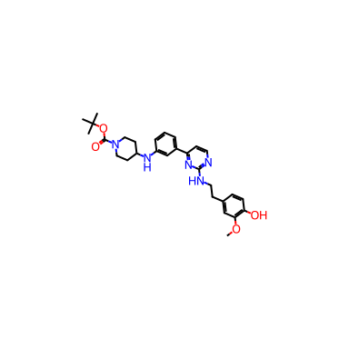 COc1cc(CCNc2nccc(-c3cccc(NC4CCN(C(=O)OC(C)(C)C)CC4)c3)n2)ccc1O